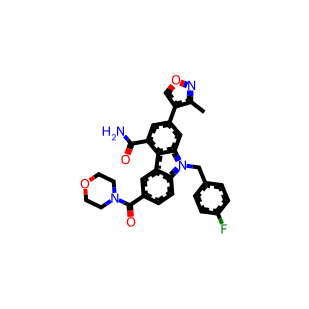 Cc1nocc1-c1cc(C(N)=O)c2c3cc(C(=O)N4CCOCC4)ccc3n(Cc3ccc(F)cc3)c2c1